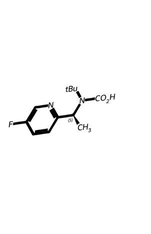 C[C@@H](c1ccc(F)cn1)N(C(=O)O)C(C)(C)C